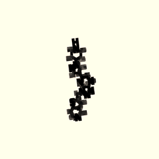 c1cc2sc(Cn3nnc4ncc(-c5cnn(C6CCNCC6)c5)nc43)cc2cn1